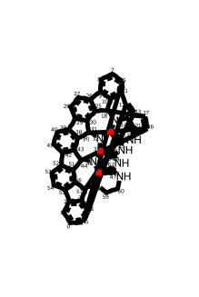 c1cc2c3c4c1-c1ccc5c6c1C4=C1C4=C7C8=C1[C@]6(N1CCNCC1)c1c-5ccc5c1[C@@]8(N1CCNCC1)c1c-5ccc5c1[C@@]7(N1CCNCC1)c1c-5ccc-2c1[C@]43N1CCNCC1